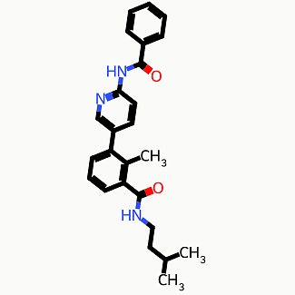 Cc1c(C(=O)NCCC(C)C)cccc1-c1ccc(NC(=O)c2ccccc2)nc1